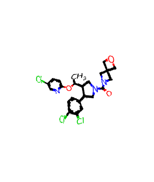 CC(Oc1ccc(Cl)cn1)C1CN(C(=O)N2CC3(COC3)C2)CC1c1ccc(Cl)c(Cl)c1